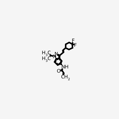 C=CC(=O)Nc1ccc2c(c1)c(C=CC1CCC(F)(F)CC1)nn2C(C)C